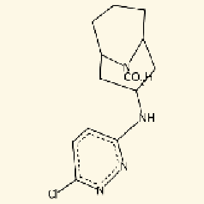 O=C(O)N1C2CCCC1CC(Nc1ccc(Cl)nn1)C2